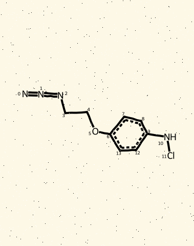 [N-]=[N+]=NCCOc1ccc(NCl)cc1